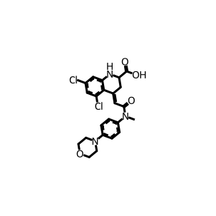 CN(C(=O)/C=C1\CC(C(=O)O)Nc2cc(Cl)cc(Cl)c21)c1ccc(N2CCOCC2)cc1